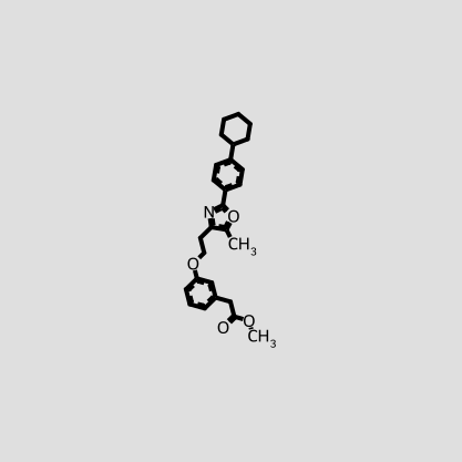 COC(=O)Cc1cccc(OCCc2nc(-c3ccc(C4CCCCC4)cc3)oc2C)c1